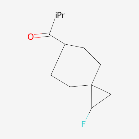 CC(C)C(=O)C1CCC2(CC1)CC2F